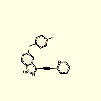 Fc1ccc(Cc2ccc3[nH]nc(C#Cc4ccccn4)c3c2)cc1